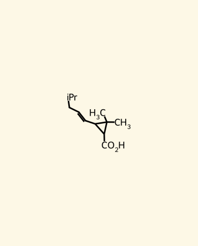 CC(C)CC=CC1C(C(=O)O)C1(C)C